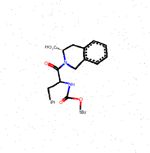 CC(C)CC(NC(=O)OC(C)(C)C)C(=O)N1Cc2ccccc2C[C@H]1C(=O)O